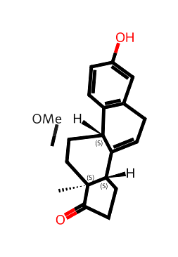 COC.C[C@]12CC[C@H]3C(=CCc4cc(O)ccc43)[C@@H]1CCC2=O